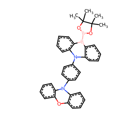 CC1(C)OB(B2c3ccccc3N(c3ccc(N4c5ccccc5Oc5ccccc54)cc3)c3ccccc32)OC1(C)C